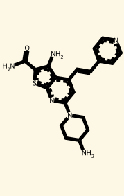 NC(=O)c1sc2nc(N3CCC(N)CC3)cc(/C=C/c3ccncc3)c2c1N